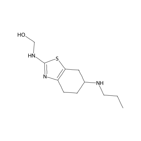 CCCNC1CCc2nc(NCO)sc2C1